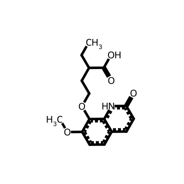 CCC(CCOc1c(OC)ccc2ccc(=O)[nH]c12)C(=O)O